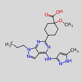 CCCn1ncc2c(Nc3cc(C)[nH]n3)nc(C3CCC(OC)(C(=O)O)CC3)nc21